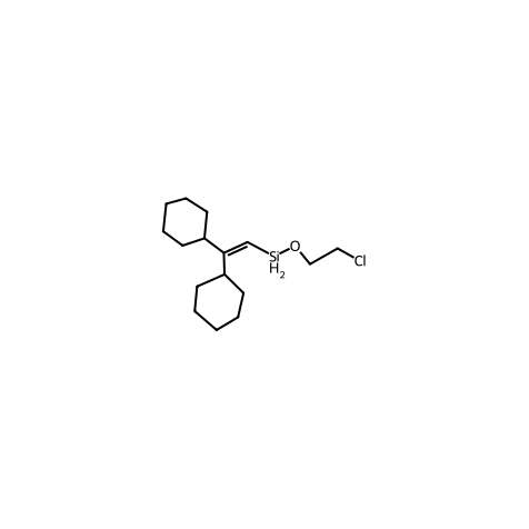 ClCCO[SiH2]C=C(C1CCCCC1)C1CCCCC1